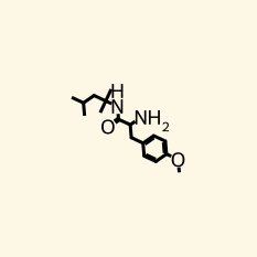 COc1ccc(CC(N)C(=O)NC(C)(C)CC(C)C)cc1